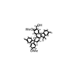 COc1ccc(C2(c3ccc(C)cc3)C=Cc3c4c(c5cc(CO)c(OC)cc5c3O2)-c2ccc(C)cc2C4(C)C)cc1